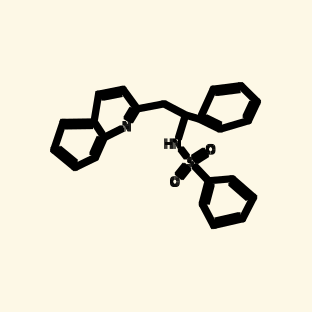 O=S(=O)(NC(Cc1ccc2ccccc2n1)c1ccccc1)c1ccccc1